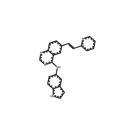 C(=Cc1ccccn1)c1ccc2ncnc(Nc3ccc4[nH]ccc4c3)c2c1